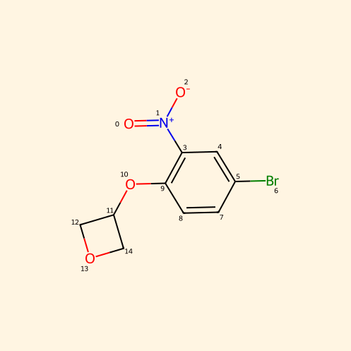 O=[N+]([O-])c1cc(Br)ccc1OC1COC1